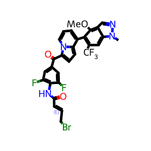 COc1c(-c2cccn3c(C(=O)c4cc(F)c(NC(=O)/C=C/CBr)c(F)c4)ccc23)c(C(F)(F)F)cc2c1cnn2C